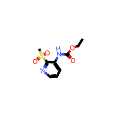 CCOC(=O)Nc1cccnc1S(C)(=O)=O